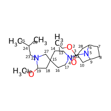 CCOC(=O)N1C2CCC1CC(N1CCC3(CC1)CC(OC)N(CC(C)C)C3)C2